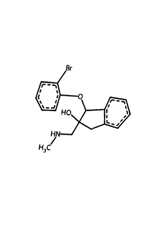 CNCC1(O)Cc2ccccc2C1Oc1ccccc1Br